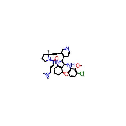 COc1c(Cl)cccc1Nc1c(-c2ccncc2C#C[C@@]2(C)CCCN2C(=O)/C=C/CN(C)C)[nH]c2c1C(=O)CCC2